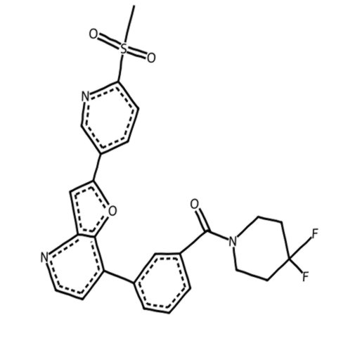 CS(=O)(=O)c1ccc(-c2cc3nccc(-c4cccc(C(=O)N5CCC(F)(F)CC5)c4)c3o2)cn1